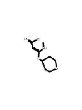 CN/C(=C\C(=N)Cl)OC1CCOCC1